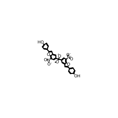 COC(OC)(c1cc([N+](=O)[O-])c2oc(-c3ccc(O)cc3)cc2c1)c1cc([N+](=O)[O-])c2oc(-c3ccc(O)cc3)cc2c1